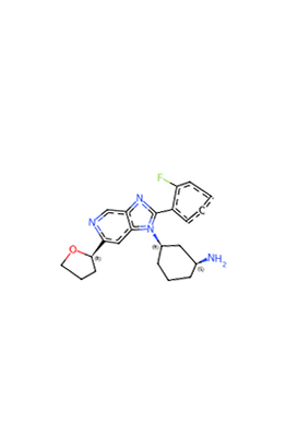 N[C@H]1CCC[C@@H](n2c(-c3ccccc3F)nc3cnc([C@H]4CCCO4)cc32)C1